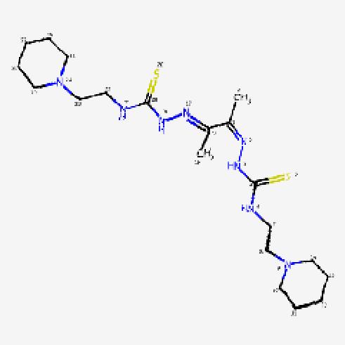 CC(=N/NC(=S)NCCN1CCCCC1)/C(C)=N/NC(=S)NCCN1CCCCC1